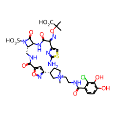 CC(C)(O/N=C(\C(=O)NC1C(=O)N(S(=O)(=O)O)[C@H]1CNC(=O)c1cc([C@@H]2CC[N+](C)(CCNC(=O)c3ccc(O)c(O)c3Cl)C2)no1)c1csc(N)n1)C(=O)O